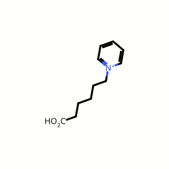 O=C(O)CCCCC[n+]1ccccc1